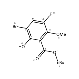 CCCCOC(=O)c1c(O)c(Br)cc(F)c1OC